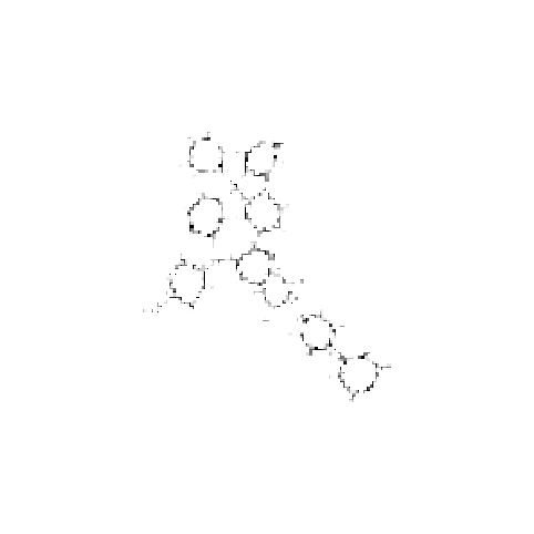 CC(C)(C)c1ccc(N(c2ccc3c(c2)C(c2ccccc2)(c2ccccc2)c2ccccc2-3)c2ccc3nc(-c4ccc(-c5ccccc5)cc4)oc3c2)cc1